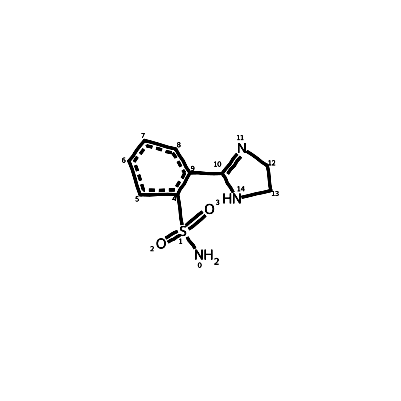 NS(=O)(=O)c1ccccc1C1=NCCN1